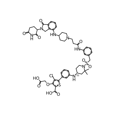 CC1(C)C[C@@H](Nc2cccc(-c3sc(C(=O)O)c(OCC(=O)O)c3Cl)c2)CCN1S(=O)(=O)Cc1cccc(NC(=O)CCN2CCC(Nc3cccc4c3CN(C3CCC(=O)NC3=O)C4=O)CC2)c1